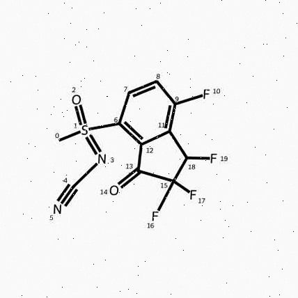 CS(=O)(=NC#N)c1ccc(F)c2c1C(=O)C(F)(F)C2F